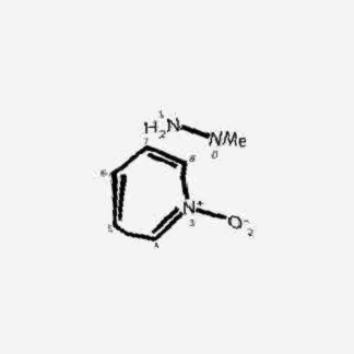 CNN.[O-][n+]1ccccc1